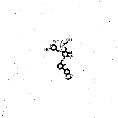 CCOC(=O)C(CO)NCc1c(OCc2ccnc(C#N)c2)cc(OCc2cccc(-c3ccc4c(c3)OCCO4)c2C)c2nonc12